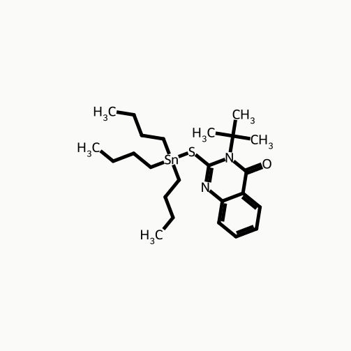 CCC[CH2][Sn]([CH2]CCC)([CH2]CCC)[S]c1nc2ccccc2c(=O)n1C(C)(C)C